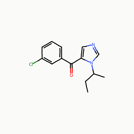 CCC(C)n1cncc1C(=O)c1cccc(Cl)c1